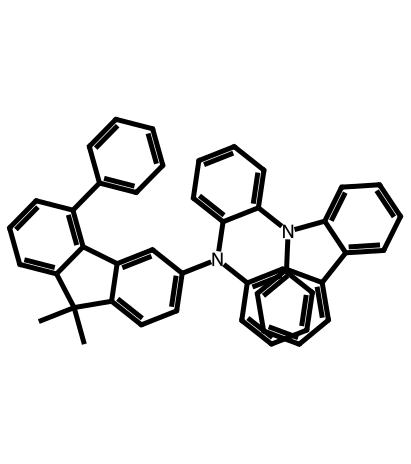 CC1(C)c2ccc(N(c3ccccc3)c3ccccc3-n3c4ccccc4c4ccccc43)cc2-c2c(-c3ccccc3)cccc21